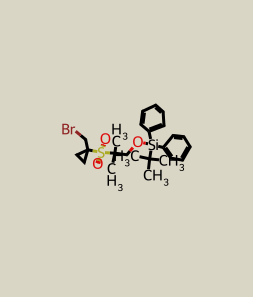 CC(C)(C)[Si](OCC(C)(C)S(=O)(=O)C1(CBr)CC1)(c1ccccc1)c1ccccc1